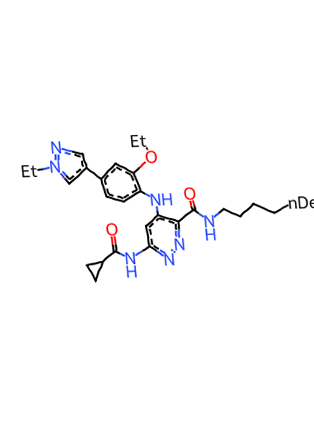 CCCCCCCCCCCCCCNC(=O)c1nnc(NC(=O)C2CC2)cc1Nc1ccc(-c2cnn(CC)c2)cc1OCC